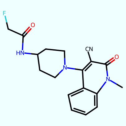 Cn1c(=O)c(C#N)c(N2CCC(NC(=O)CF)CC2)c2ccccc21